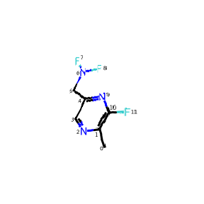 Cc1ncc(CN(F)F)nc1F